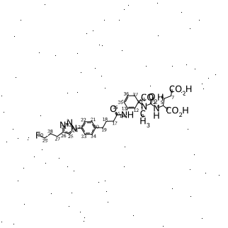 CN(C(=O)NC(CCC(=O)O)C(=O)O)[C@]1(C(=O)O)C=C(NC(=O)CCCc2ccc(-n3cc(CCCF)nn3)cc2)C=CC1